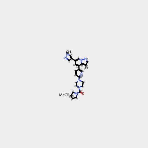 CCc1cnn2cc(-c3cnn(C)c3)cc(-c3ccc(N4CCN(C(=O)N5CC[C@H](OC)C5)CC4)nc3)c12